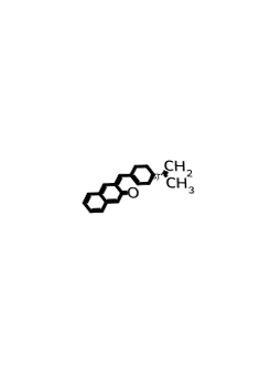 C=C(C)[C@@H]1CC=C(C=C2C=c3ccccc3=CC2=O)CC1